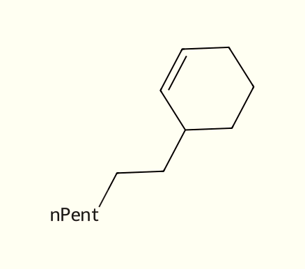 CCCCCCCC1C=CCCC1